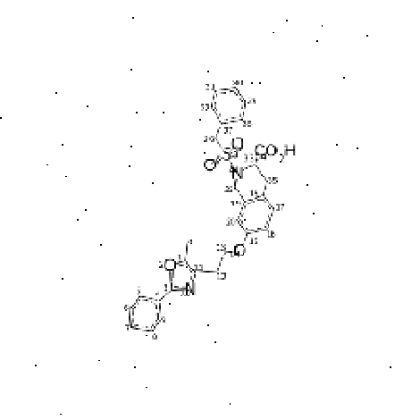 Cc1oc(-c2ccccc2)nc1CCOc1ccc2c(c1)CN(S(=O)(=O)Cc1ccccc1)C(C(=O)O)C2